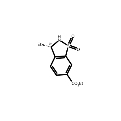 CCOC(=O)c1ccc2c(c1)S(=O)(=O)N[C@H]2CC